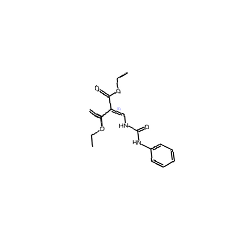 C=C(OCC)/C(=C\NC(=O)Nc1ccccc1)C(=O)OCC